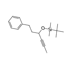 CC#CC(CCc1ccccc1)O[Si](C)(C)C(C)(C)C